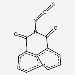 O=C1c2cccc3cccc(c23)C(=O)N1N=C=S